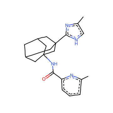 Cc1cccc(C(=O)NC23CC4CC(C2)CC(c2nc(C)c[nH]2)(C4)C3)n1